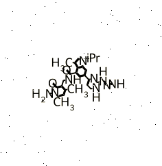 Cc1cc(C)n(N)c(=O)c1CNC(=O)c1cc(C2=CCNC(NN=N)=N2)cc2c1c(C)cn2C(C)C